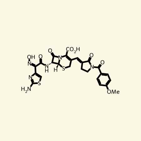 COc1ccc(C(=O)N2CCC(=CC3=C(C(=O)O)N4C(=O)[C@@H](NC(=O)/C(=N\O)c5csc(N)n5)[C@H]4SC3)C2=O)cc1